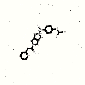 O=C(Cc1ccccn1)N1CC2=C(C1)CN([S+]([O-])c1ccc(OC(F)F)cc1)C2